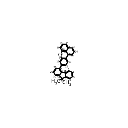 CC1(C)c2ccccc2-c2c(-c3ccc4c(c3)Oc3cccc5cccc-4c35)cccc21